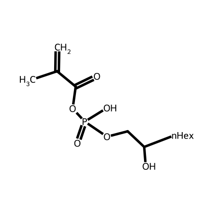 C=C(C)C(=O)OP(=O)(O)OCC(O)CCCCCC